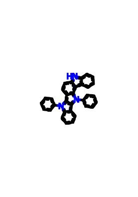 c1ccc(-n2c3ccccc3c3c2c2ccc4[nH]c5ccccc5c4c2n3-c2ccccc2)cc1